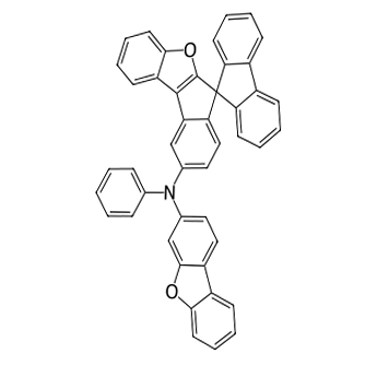 c1ccc(N(c2ccc3c(c2)-c2c(oc4ccccc24)C32c3ccccc3-c3ccccc32)c2ccc3c(c2)oc2ccccc23)cc1